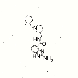 Nc1nc2c(C(=O)NCC3CCCN(CC4CCCCC4)C3)cccc2[nH]1